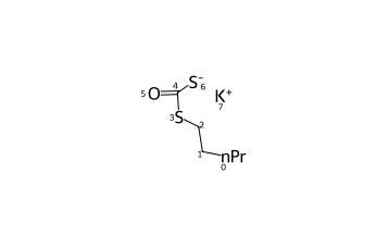 CCCCCSC(=O)[S-].[K+]